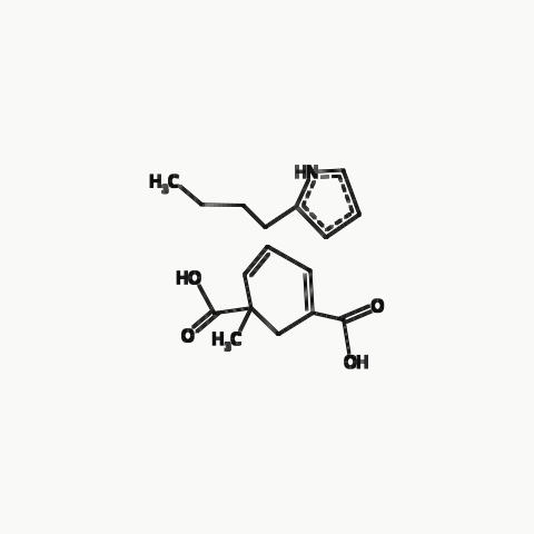 CC1(C(=O)O)C=CC=C(C(=O)O)C1.CCCCc1ccc[nH]1